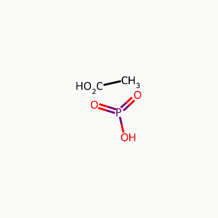 CC(=O)O.O=P(=O)O